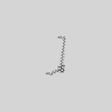 O=C(O)CCCCCCCCCCCCCCCCCCC(=O)Nc1ccccc1OCCCCS(=O)(=O)O